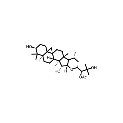 CC(=O)O[C@@H]([C@H]1C[C@@H](C)C2[C@H](O1)[C@H](O)[C@@]1(C)[C@@H]3CC[C@H]4C(C)(C)[C@@H](O)CCC45C[C@@]35CC[C@]21C)C(C)(C)O